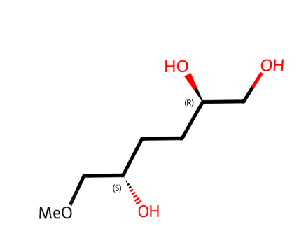 COC[C@@H](O)CC[C@@H](O)CO